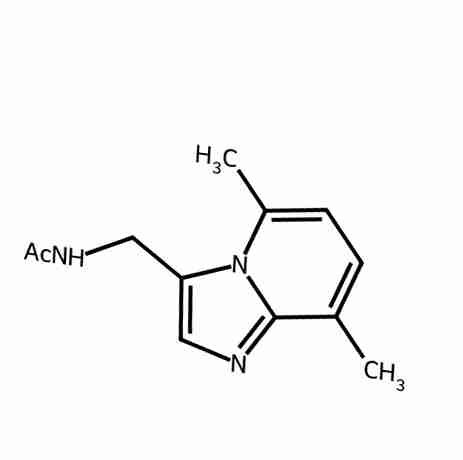 CC(=O)NCc1cnc2c(C)ccc(C)n12